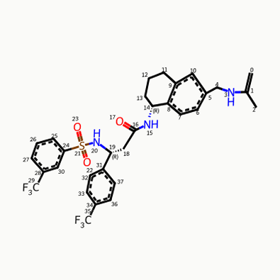 C=C(C)NCc1ccc2c(c1)CCC[C@H]2NC(=O)C[C@@H](NS(=O)(=O)c1cccc(C(F)(F)F)c1)c1ccc(C(F)(F)F)cc1